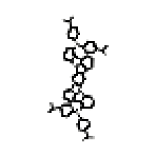 CC(C)c1ccc(N(c2ccc(C(C)C)cc2)c2cccc3c2c2cccc4c5cc6c(cc5n3c42)c2cccc3c4c(N(c5ccc(C(C)C)cc5)c5ccc(C(C)C)cc5)cccc4n6c23)cc1